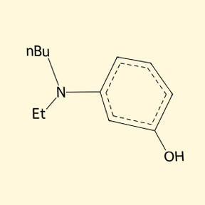 CCCCN(CC)c1cccc(O)c1